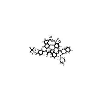 CN1CCN(C[C@@H]2Cc3ccccc3CN2C(=O)c2cc3c(cc2-n2cc(C(=O)N(c4ccc(O[Si](C)(C)C(C)(C)C)cc4)c4ccc5c(ccn5C(=O)O)c4)c4ccccc42)OCO3)CC1